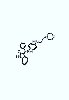 O=C1Nc2ccccc2C1=C(Nc1ccc(NCCN2CCOCC2)cc1)c1ccccc1